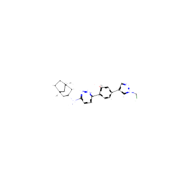 CN(c1ccc(-c2ccc(-c3cnn(CF)c3)cc2O)nn1)[C@H]1C[C@]2(C)CC[C@](C)(C1)C2